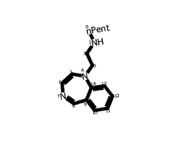 CCCCCNCCN1C=CN=Cc2ccccc21